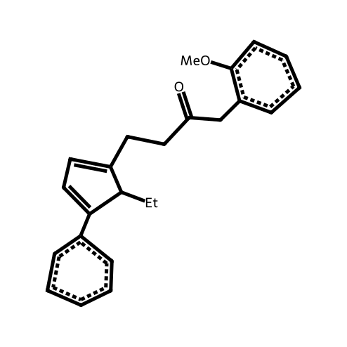 CCC1C(CCC(=O)Cc2ccccc2OC)=CC=C1c1ccccc1